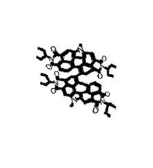 CCC(CC)n1c(=O)c2ccc3c4c(-c5cc6c(=O)n(C(CC)CC)c(=O)c7cc8c9c(c5c5ccc%10c(=O)n(C(CC)CC)c(=O)c%11cc(c9c5c%10%11)n8C)c67)cc5c(=O)n(C(CC)CC)c(=O)c6cc7c(c4c56)c4c3c2c(cc4n7C)c1=O